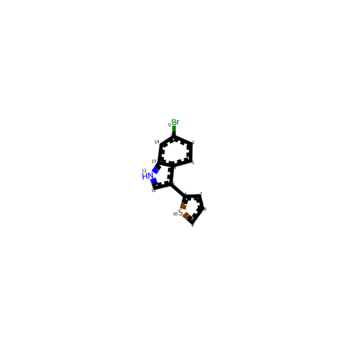 Brc1ccc2c(-c3cccs3)c[nH]c2c1